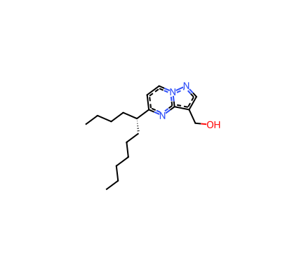 CCCCCC[C@H](CCCC)c1ccn2ncc(CO)c2n1